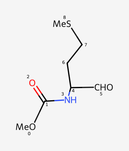 COC(=O)NC(C=O)CCSC